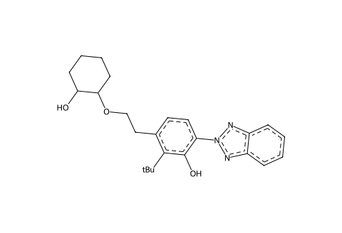 CC(C)(C)c1c(CCOC2CCCCC2O)ccc(-n2nc3ccccc3n2)c1O